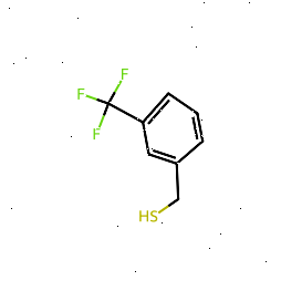 FC(F)(F)c1cccc(CS)c1